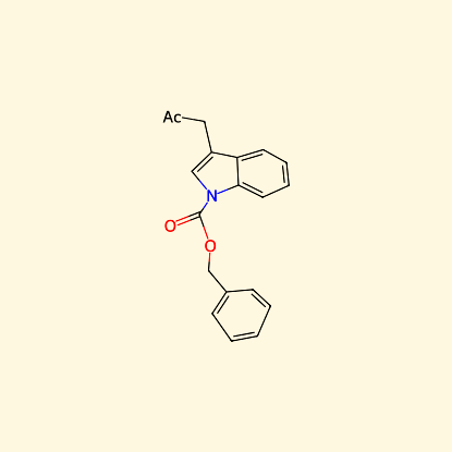 CC(=O)Cc1cn(C(=O)OCc2ccccc2)c2ccccc12